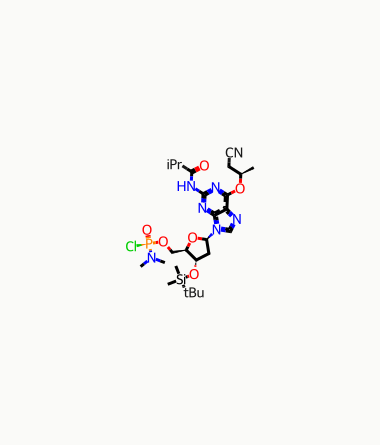 CC(C)C(=O)Nc1nc(O[C@H](C)CC#N)c2ncn([C@H]3C[C@H](O[Si](C)(C)C(C)(C)C)[C@@H](CO[P@](=O)(Cl)N(C)C)O3)c2n1